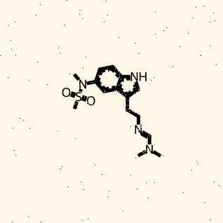 CN(C)C=NCCc1c[nH]c2ccc(N(C)S(C)(=O)=O)cc12